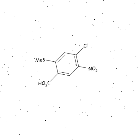 CSc1cc(Cl)c([N+](=O)[O-])cc1C(=O)O